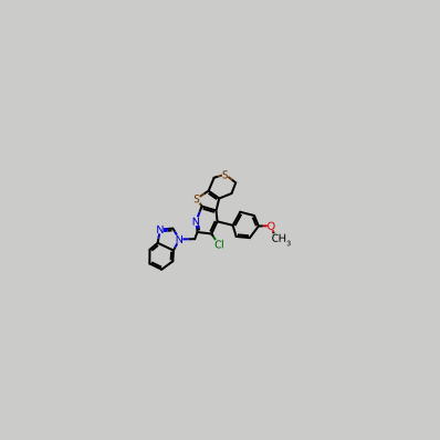 COc1ccc(-c2c(Cl)c(Cn3cnc4ccccc43)nc3sc4c(c23)CCSC4)cc1